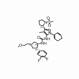 COCCN1C[C@@H](NC(=O)Nc2c(C)c([C@H]3CCCN3S(C)(=O)=O)nn2C2=CCCC=C2)[C@H](c2ccc(F)c(F)c2)C1